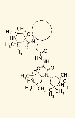 CC1(C)CC(N(C(=O)C(=O)NNC(=O)CCN2C(=O)C3(CC(C)(C)NC(C)(C)C3)OC23CCCCCCCCCCC3)C2CC(C)(C)NC(C)(C)C2)CC(C)(C)N1